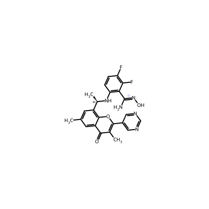 Cc1cc([C@@H](C)Nc2ccc(F)c(F)c2/C(N)=N/O)c2oc(-c3cncnc3)c(C)c(=O)c2c1